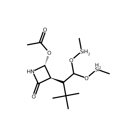 C[SiH2]OC(O[SiH2]C)C([C@H]1C(=O)N[C@@H]1OC(C)=O)C(C)(C)C